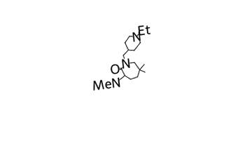 CCN1CCC(CN2CC(C)(C)CCC(NC)C2=O)CC1